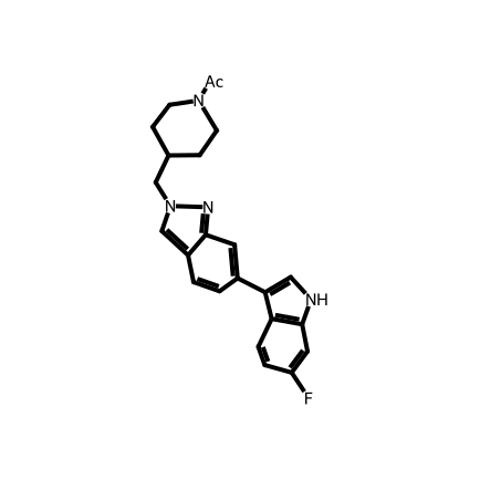 CC(=O)N1CCC(Cn2cc3ccc(-c4c[nH]c5cc(F)ccc45)cc3n2)CC1